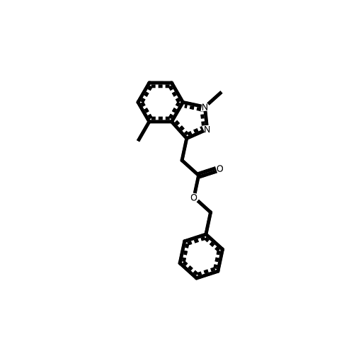 Cc1cccc2c1c(CC(=O)OCc1ccccc1)nn2C